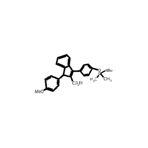 CCOC(=O)C1=C(c2ccc(O[Si](C)(C)C(C)(C)C)cc2)c2ccccc2C1c1ccc(OC)cc1